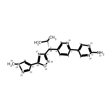 CC(C)[C@H](c1ccc(-c2cnc(N)nc2)nc1)c1noc(-c2cnn(C)c2)n1